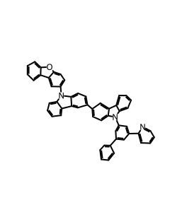 c1ccc(-c2cc(-c3ccccn3)cc(-n3c4ccccc4c4cc(-c5ccc6c(c5)c5ccccc5n6-c5ccc6oc7ccccc7c6c5)ccc43)c2)cc1